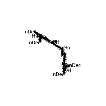 CCCCCCCCCCCCC(O)CN(CCOCCOCCNCC(O)CCCCCCCC(CCCC)CCN1CCN(CCOCCOCCN(CC(O)CCCCCCCCCCCC)CC(O)CCCCCCCCCCCC)CC1)CC(O)CCCCCCCCCCCC